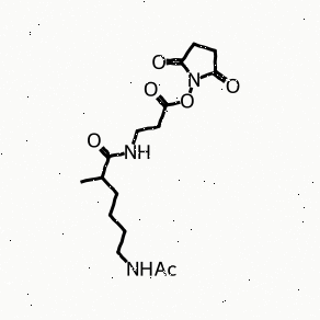 CC(=O)NCCCCC(C)C(=O)NCCC(=O)ON1C(=O)CCC1=O